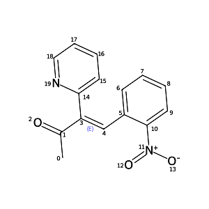 CC(=O)/C(=C/c1ccccc1[N+](=O)[O-])c1ccccn1